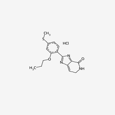 CCCOc1cc(SC)ccc1C1=NC2=CCNC(=O)C2=N1.Cl